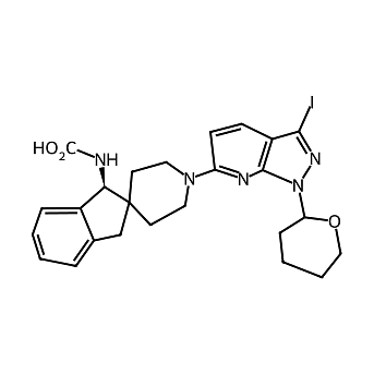 O=C(O)N[C@@H]1c2ccccc2CC12CCN(c1ccc3c(I)nn(C4CCCCO4)c3n1)CC2